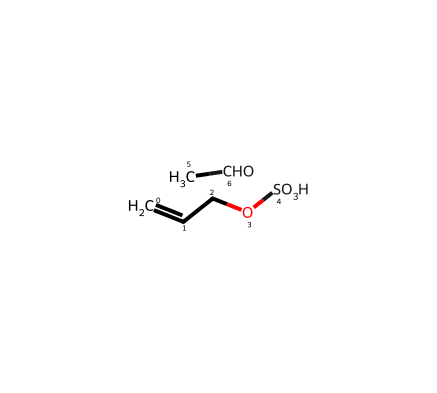 C=CCOS(=O)(=O)O.CC=O